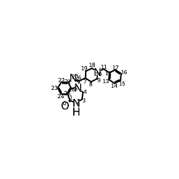 O=C1NCCn2c(C3CCN(Cc4ccccc4)CC3)nc3cccc1c32